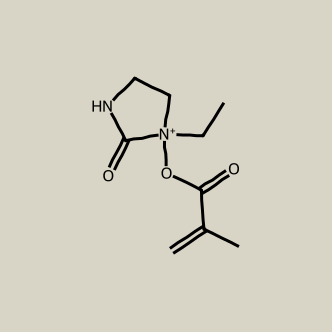 C=C(C)C(=O)O[N+]1(CC)CCNC1=O